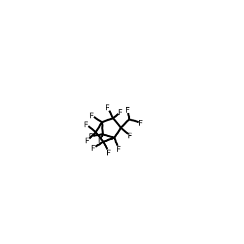 FC(F)C1(F)C(F)(F)C2(F)C(F)(F)C(F)(F)C1(F)C2(F)F